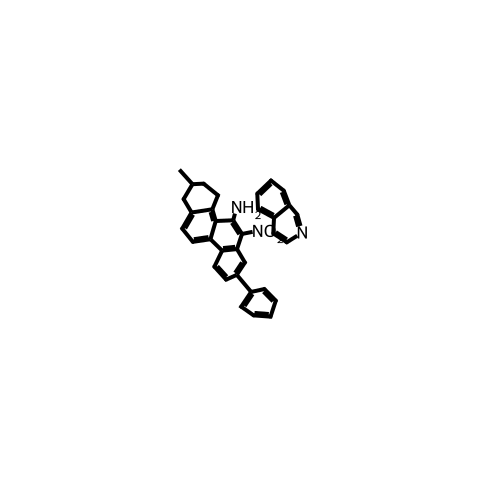 CC1CCc2c(ccc3c2c(N)c([N+](=O)[O-])c2cc(-c4ccccc4)ccc23)C1.c1ccc2cnccc2c1